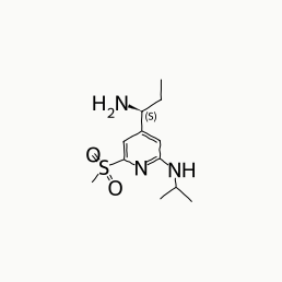 CC[C@H](N)c1cc(NC(C)C)nc(S(C)(=O)=O)c1